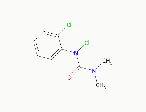 CN(C)C(=O)N(Cl)c1ccccc1Cl